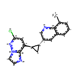 FC(F)(F)c1cccc2cc([C@@H]3C[C@H]3c3cc(Cl)nn4ccnc34)cnc12